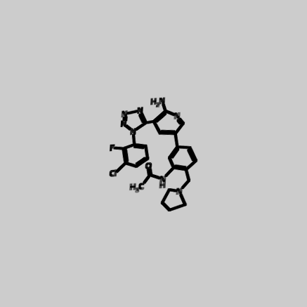 CC(=O)Nc1cc(-c2cnc(N)c(-c3nnnn3-c3cccc(Cl)c3F)c2)ccc1CN1CCCC1